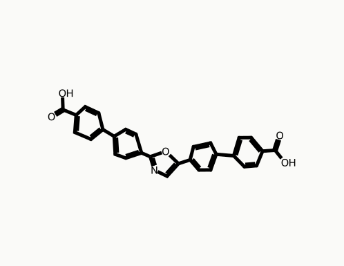 O=C(O)c1ccc(-c2ccc(-c3cnc(-c4ccc(-c5ccc(C(=O)O)cc5)cc4)o3)cc2)cc1